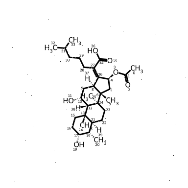 CC(=O)O[C@H]1C[C@@]2(C)[C@@H](C[C@@H](O)[C@H]3[C@@]4(C)CC[C@@H](O)[C@@H](C)[C@@H]4CC[C@@]32C)/C1=C(\CCCC(C)C)C(=O)O